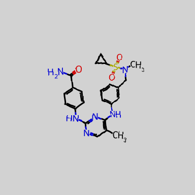 Cc1cnc(Nc2ccc(C(N)=O)cc2)nc1Nc1cccc(CN(C)S(=O)(=O)C2CC2)c1